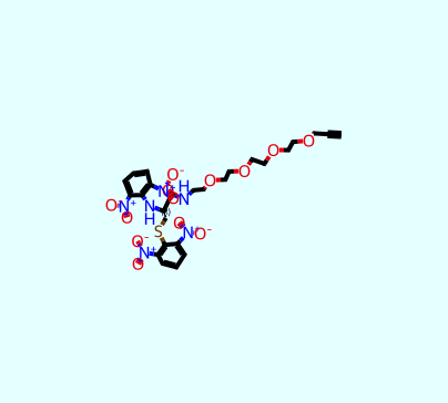 C#CCOCCOCCOCCOCCNC(=O)[C@H](CSc1c([N+](=O)[O-])cccc1[N+](=O)[O-])Nc1c([N+](=O)[O-])cccc1[N+](=O)[O-]